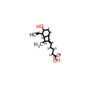 C#CC1C(O)CCC2C(=CCCCC(=O)O)C(C)C21